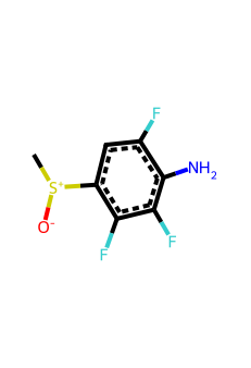 C[S+]([O-])c1cc(F)c(N)c(F)c1F